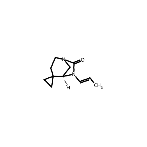 C/C=C/N1C(=O)N2CCC3(CC3)[C@H]1C2